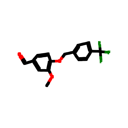 COc1cc(C=O)ccc1OCc1ccc(C(F)(F)F)cc1